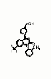 Cc1ccccc1-n1c(=O)nc(N2CCC(CO)C2)c2ccc(C(F)(F)F)cc21